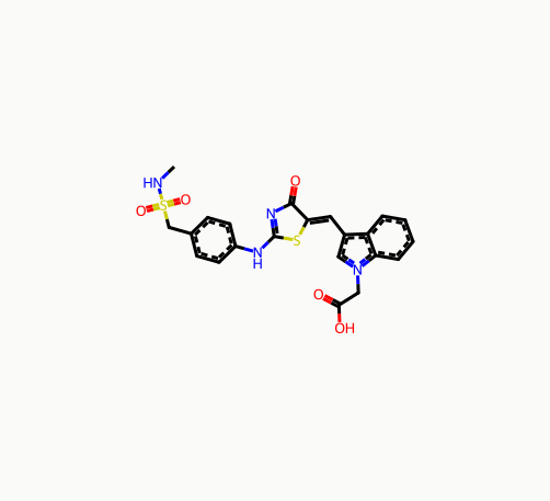 CNS(=O)(=O)Cc1ccc(NC2=NC(=O)C(=Cc3cn(CC(=O)O)c4ccccc34)S2)cc1